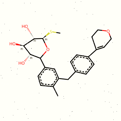 CS[C@H]1OC(c2ccc(C)c(Cc3ccc(C4=CCOCC4)cc3)c2)[C@H](O)[C@@H](O)[C@@H]1O